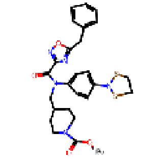 CC(C)(C)OC(=O)N1CCC(CN(C(=O)c2noc(Cc3ccccc3)n2)c2ccc(N3SCCS3)cc2)CC1